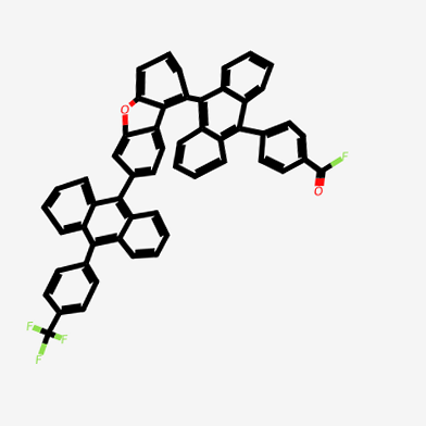 O=C(F)c1ccc(-c2c3ccccc3c(-c3cccc4oc5cc(-c6c7ccccc7c(-c7ccc(C(F)(F)F)cc7)c7ccccc67)ccc5c34)c3ccccc23)cc1